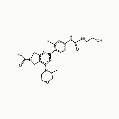 CC1COCCN1c1nc(-c2ccc(NC(=O)NCCO)cc2F)nc2c1CN(C(=O)O)C2